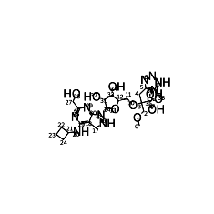 COCC(Cc1nn[nH]n1)(OC[C@H]1O[C@@H](N2NCc3c(NC4CCC4)nc(CO)nc32)[C@H](O)[C@@H]1O)P(=O)(O)O